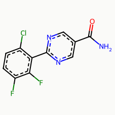 NC(=O)c1cnc(-c2c(Cl)ccc(F)c2F)nc1